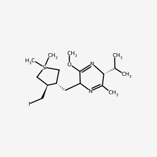 COC1=N[C@H](C(C)C)C(C)=NC1C[C@H]1C[Si](C)(C)C[C@@H]1CI